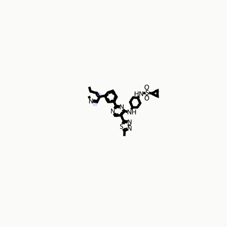 CC/C=C(\C=N/C)c1cccc(-c2ncc(-c3nnc(C)s3)c(NC3CCC(NS(=O)(=O)C4CC4)CC3)n2)c1